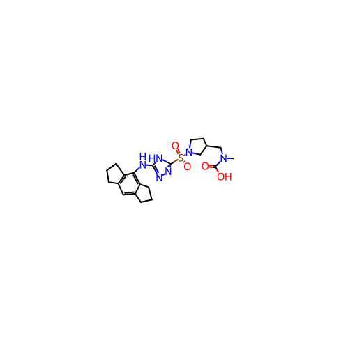 CN(CC1CCN(S(=O)(=O)c2nnc(Nc3c4c(cc5c3CCC5)CCC4)[nH]2)C1)C(=O)O